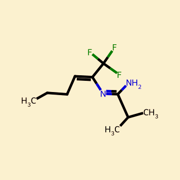 CCC/C=C(\N=C(/N)C(C)C)C(F)(F)F